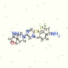 NC1CC(F)(F)c2c(Sc3cnc(N4CCC5(CC4)COCC5N)cn3)cccc21